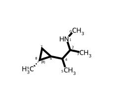 CNC(C)C(C)C1C[C@H]1C